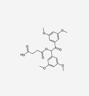 COc1cc(OC)cc(C(=O)C(OC(=O)CCC(=O)O)c2cc(OC)cc(OC)c2)c1